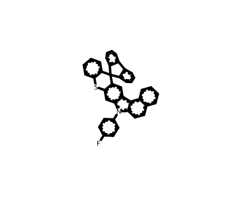 Fc1ccc(-n2c3cc4c(cc3c3c5ccccc5ccc32)C2(c3ccccc3S4)c3ccccc3-c3ccccc32)cc1